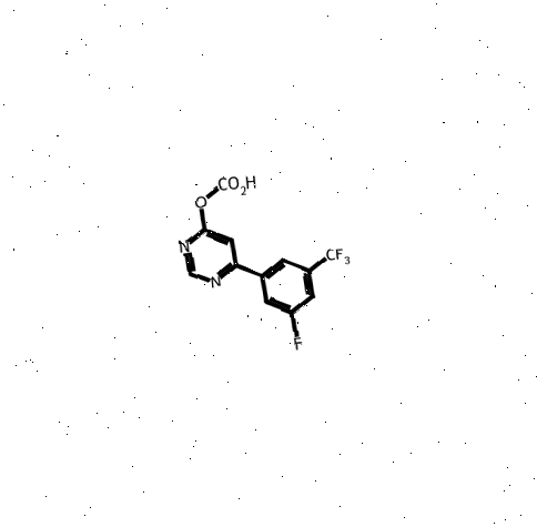 O=C(O)Oc1cc(-c2cc(F)cc(C(F)(F)F)c2)ncn1